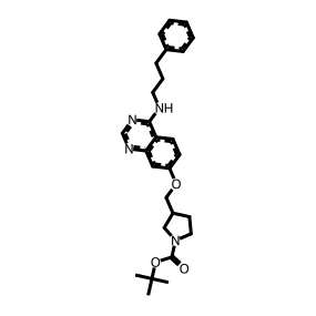 CC(C)(C)OC(=O)N1CCC(COc2ccc3c(NCCCc4ccccc4)ncnc3c2)C1